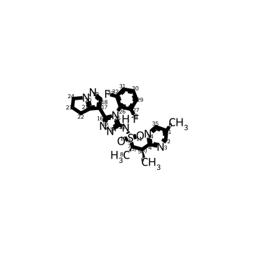 Cc1cnc([C@@H](C)[C@H](C)S(=O)(=O)Nc2nnc(-c3cnn4c3CCC4)n2-c2c(F)cccc2F)nc1